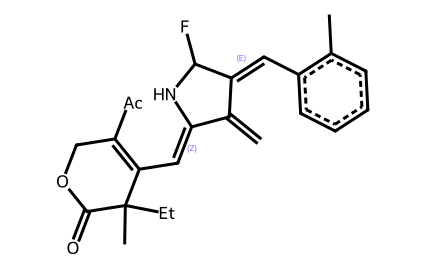 C=C1/C(=C/C2=C(C(C)=O)COC(=O)C2(C)CC)NC(F)/C1=C/c1ccccc1C